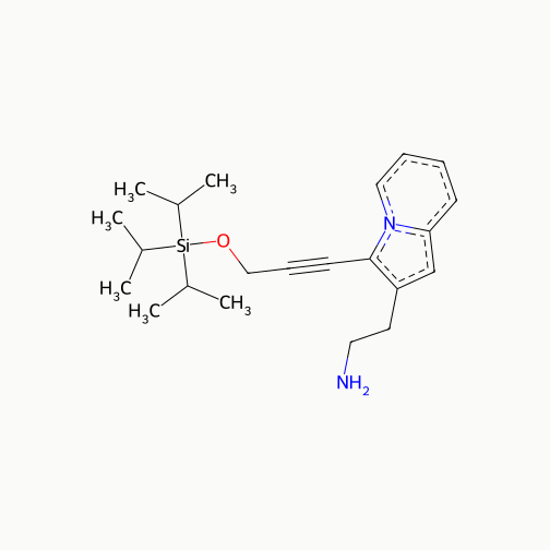 CC(C)[Si](OCC#Cc1c(CCN)cc2ccccn12)(C(C)C)C(C)C